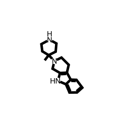 CC1(N2CCc3c([nH]c4ccccc34)C2)CCNCC1